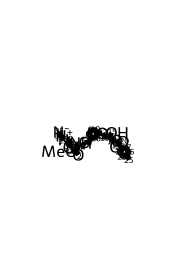 COC(=O)[C@H](COCc1cccc(OCC(O)COS(=O)(=O)c2ccc(C)cc2)c1)NC(=O)CN=[N+]=[N-]